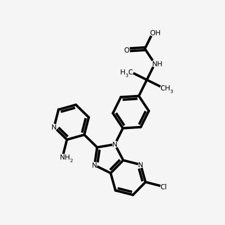 CC(C)(NC(=O)O)c1ccc(-n2c(-c3cccnc3N)nc3ccc(Cl)nc32)cc1